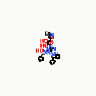 CCc1cc([C@H]2O[C@@H](n3cnc4c(NCC(c5ccccc5)c5ccccc5)nc(N(CO)CCc5ccccc5)nc43)[C@H](O)[C@@H]2O)on1